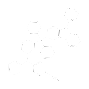 N#Cc1ccc(N(C2=CC([Si](C3C=CC4=C(C3)C3C=CCCC3N4C3=CC=CCC3)(C3CC=CCC3)C3CC=CCC3)CC=C2)C2=CC=CCC2)cc1